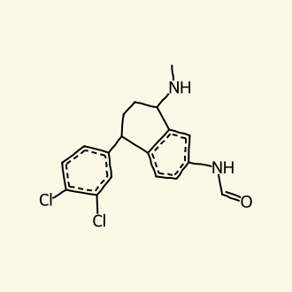 CNC1CCC(c2ccc(Cl)c(Cl)c2)c2ccc(NC=O)cc21